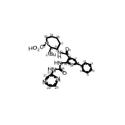 CC(C)(C)C1[C@@H](NC(=O)c2cc(-c3ccccc3)sc2NC(=O)Nc2cnccn2)CCCCN1C(=O)O